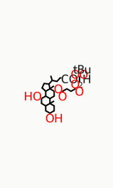 CC(CCC(=O)O)C1CCC2C3C(O)CC4CC(O)CCC4(C)C3CC(OC(=O)CCC(=O)OCC(=O)OC(C)(C)C)C12C